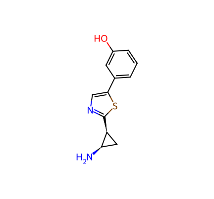 N[C@@H]1C[C@@H]1c1ncc(-c2cccc(O)c2)s1